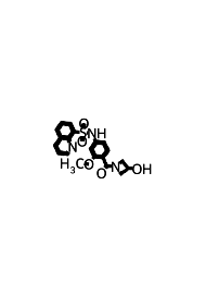 COc1cc(NS(=O)(=O)c2cccc3cccnc23)ccc1C(=O)N1CC(O)C1